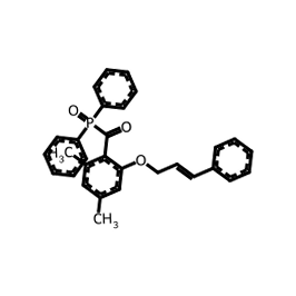 Cc1cc(C)c(C(=O)P(=O)(c2ccccc2)c2ccccc2)c(OCC=Cc2ccccc2)c1